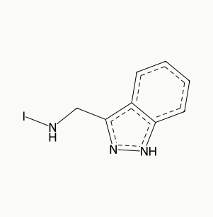 INCc1n[nH]c2ccccc12